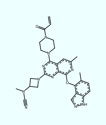 C=CC(=O)N1CCN(c2nc(N3CC(N(C)C#N)C3)nc3c(Oc4c(C)ccc5[nH]ncc45)nc(C)cc23)CC1